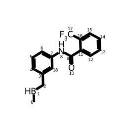 CBCc1cccc(NC(=O)c2ccccc2C(F)(F)F)c1